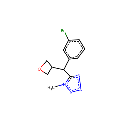 Cn1nnnc1C(c1cccc(Br)c1)C1COC1